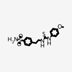 COc1ccc(NC(=S)NCCc2ccc(S(N)(=O)=O)cc2)cc1